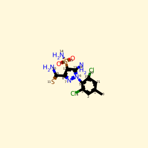 Cc1cc(Cl)c(-n2nc(C(N)=S)c(S(N)(=O)=O)c2N)c(Cl)c1